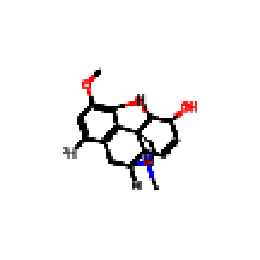 [2H]c1cc(OC)c2c3c1C[C@@H]1[C@@H]4C=C[C@H](O)[C@H](O2)[C@]34CCN1C